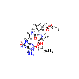 CCCCOc1nc(N)c2[nH]c(=O)n(CCCN(Cc3ccc(CC(=O)OC)cc3)C(=O)CN3CCC[C@H]3CO)c2n1